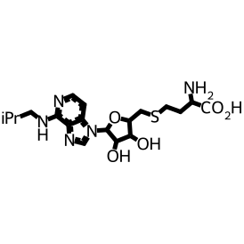 CC(C)CNc1nccc2c1ncn2C1OC(CSCCC(N)C(=O)O)C(O)C1O